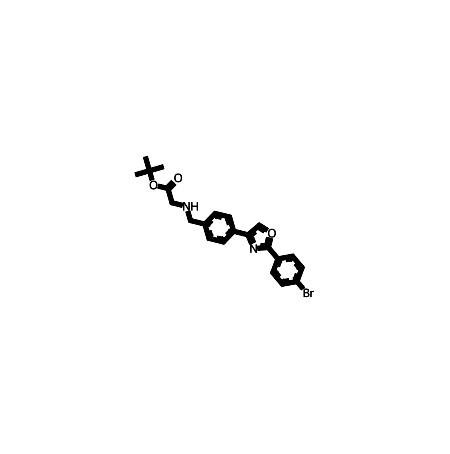 CC(C)(C)OC(=O)CNCc1ccc(-c2coc(-c3ccc(Br)cc3)n2)cc1